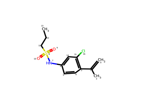 C=C(C)c1ccc(NS(=O)(=O)CCC)cc1Cl